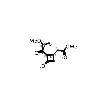 COC(=O)C[C@@H]1CC(=O)C1C(=O)N(C)OC